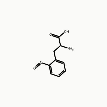 NC(Cc1ccccc1N=O)C(=O)O